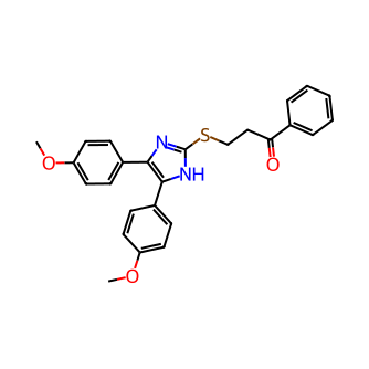 COc1ccc(-c2nc(SCCC(=O)c3ccccc3)[nH]c2-c2ccc(OC)cc2)cc1